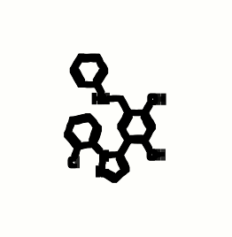 Oc1cc(O)c(-c2ccnn2-c2ccccc2Cl)cc1CNc1ccccc1